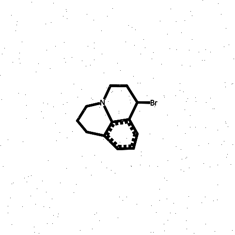 BrC1CCN2CCCc3cccc1c32